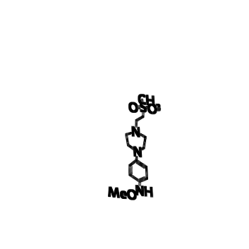 CONc1ccc(N2CCN(CCS(C)(=O)=O)CC2)cc1